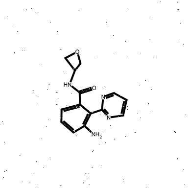 Nc1cccc(C(=O)NC2COC2)c1-c1ncccn1